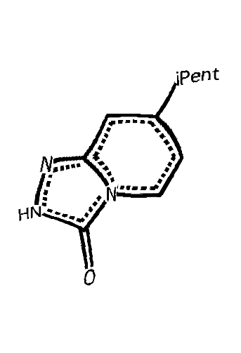 CCCC(C)c1ccn2c(=O)[nH]nc2c1